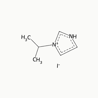 CC(C)[n+]1cc[nH]c1.[I-]